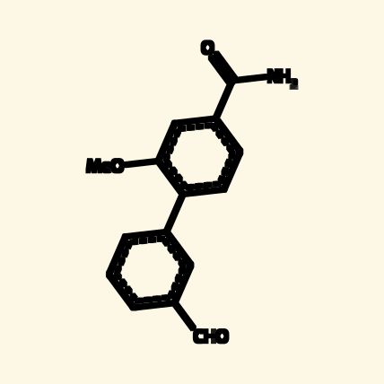 COc1cc(C(N)=O)ccc1-c1cccc(C=O)c1